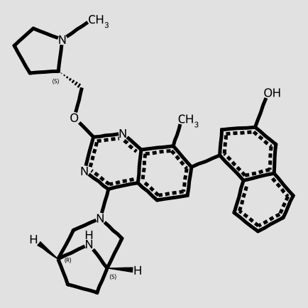 Cc1c(-c2cc(O)cc3ccccc23)ccc2c(N3C[C@H]4CC[C@@H](C3)N4)nc(OC[C@@H]3CCCN3C)nc12